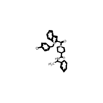 CC(NC(=O)C1CCN(C(=O)c2cc3ccccc3n2Cc2ccc(Cl)cc2)CC1)c1ccccc1